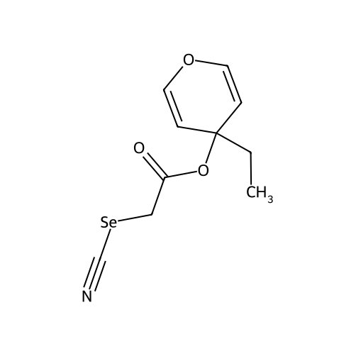 CCC1(OC(=O)C[Se]C#N)C=COC=C1